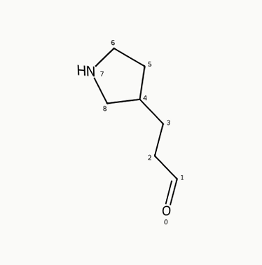 O=CCCC1CCNC1